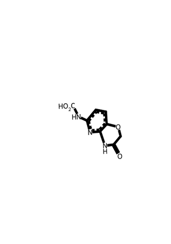 O=C(O)Nc1ccc2c(n1)NC(=O)CO2